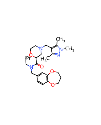 Cc1nn(C)c(C)c1CN1CCOC(C(=O)N(Cc2ccc3c(c2)OCCCO3)CC(C)C)C1